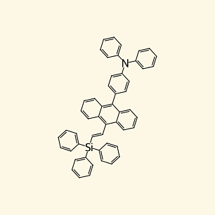 C(=C\[Si](c1ccccc1)(c1ccccc1)c1ccccc1)/c1c2ccccc2c(-c2ccc(N(c3ccccc3)c3ccccc3)cc2)c2ccccc12